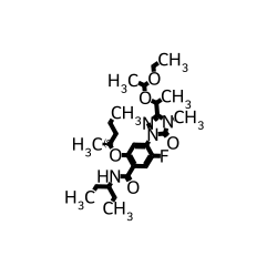 CCC[C@H](C)Oc1cc(-n2nc(C(C)OC(C)OCC)n(C)c2=O)c(F)cc1C(=O)NC(CC)CC